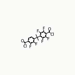 CC(C)(c1ccc(C(=O)Cl)c(F)c1F)c1c(F)c(F)c(C(=O)Cl)c(F)c1F